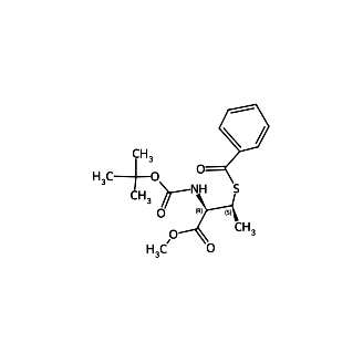 COC(=O)[C@@H](NC(=O)OC(C)(C)C)[C@H](C)SC(=O)c1ccccc1